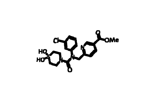 COC(=O)c1ccc(CN(C(=O)N2CCS(O)(O)CC2)c2cccc(Cl)c2)nc1